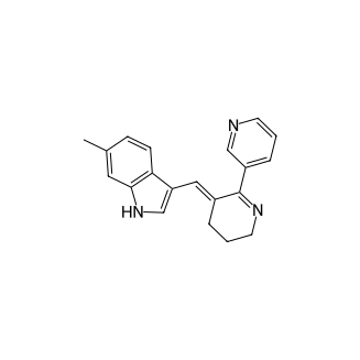 Cc1ccc2c(C=C3CCCN=C3c3cccnc3)c[nH]c2c1